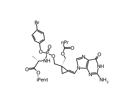 CCCC(=O)OC[C@@]1(COP(=O)(N[C@@H](C)C(=O)O[C@@H](C)CCC)Oc2ccc(Br)cc2)C/C1=C/n1cnc2c(=O)[nH]c(N)nc21